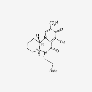 COCCN1C(=O)c2c(O)c(=O)c(C(=O)O)cn2[C@H]2CCCC[C@H]21